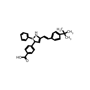 CC(C)(C)c1ccc(C=CC2=CC(c3ccc(C(=O)O)cc3)N(c3ccccc3)N2)cc1